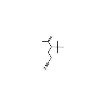 C=C(C)C(CCC#N)C(C)(C)C